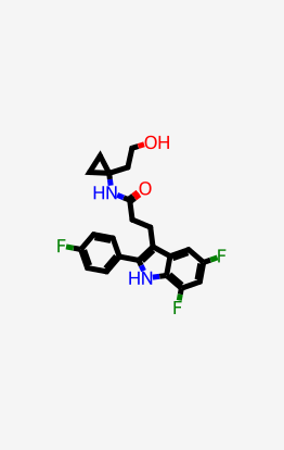 O=C(CCc1c(-c2ccc(F)cc2)[nH]c2c(F)cc(F)cc12)NC1(CCO)CC1